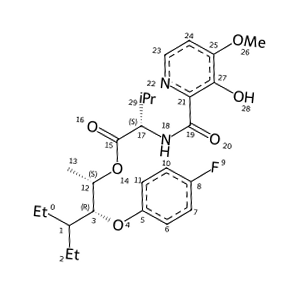 CCC(CC)[C@@H](Oc1ccc(F)cc1)[C@H](C)OC(=O)[C@@H](NC(=O)c1nccc(OC)c1O)C(C)C